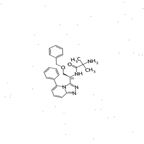 CC(C)(N)C(=O)N[C@H](COCc1ccccc1)c1nnc2cccc(-c3ccccc3)n12